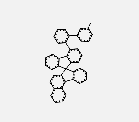 Clc1cccc(-c2ccccc2-c2cccc3c2-c2ccccc2C32c3ccccc3-c3c2ccc2ccccc32)c1